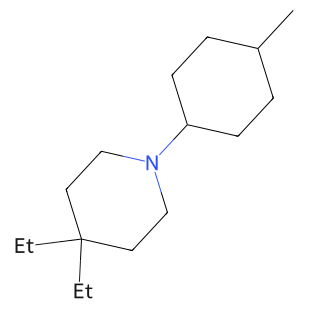 CCC1(CC)CCN(C2CCC(C)CC2)CC1